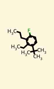 CCCc1c(F)ccc(C(C)(C)C)c1CC